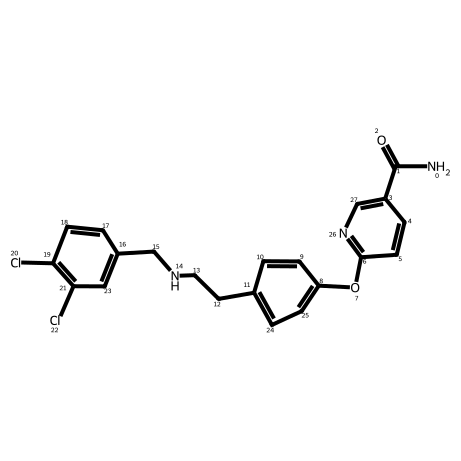 NC(=O)c1ccc(Oc2ccc(CCNCc3ccc(Cl)c(Cl)c3)cc2)nc1